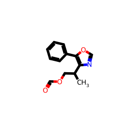 CC(COC=O)c1ncoc1-c1ccccc1